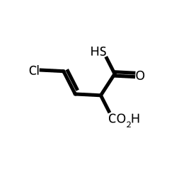 O=C(O)C(/C=C/Cl)C(=O)S